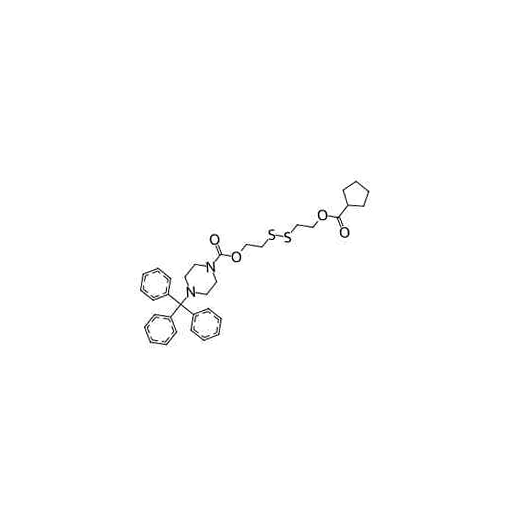 O=C(OCCSSCCOC(=O)N1CCN(C(c2ccccc2)(c2ccccc2)c2ccccc2)CC1)C1CCCC1